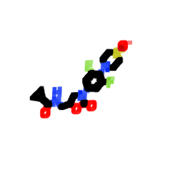 O=C(NCC1CN(c2cc(F)c(N3CC[S+]([O-])CC3)c(F)c2)C(=O)O1)C1CC1